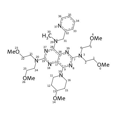 COCCN(CCOC)c1nc(N2CCC(OC)CC2)c2nc(N(CCOC)CCOC)nc(N(C)Cc3ccccn3)c2n1